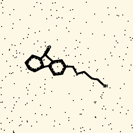 O=C1c2ccccc2-c2ccc(CSCCCS)cc21